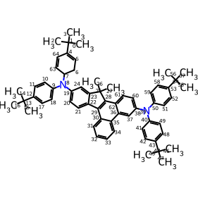 CC(C)(C)C1=CCC(N(c2ccc(C(C)(C)C)cc2)c2ccc3c(c2)C(C)(C)c2c-3c3ccccc3c3cc(N(c4ccc(C(C)(C)C)cc4)c4ccc(C(C)(C)C)cc4)ccc23)C=C1